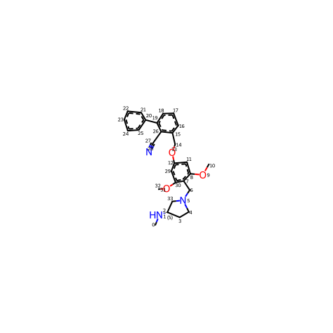 CN[C@H]1CCN(Cc2c(OC)cc(OCc3cccc(-c4ccccc4)c3C#N)cc2OC)C1